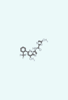 Cc1cnc(C(=O)Nc2cnc3c(C)cc(-c4ccccc4C(F)(F)F)nn23)s1